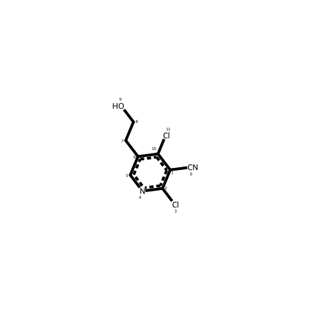 N#Cc1c(Cl)ncc(CCO)c1Cl